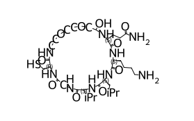 CC(C)C[C@@H]1NC(=O)[C@H](CCCCN)NC(=O)[C@H](CCC(N)=O)NC(O)COCCOCCNC(=O)[C@H](CS)NC(=O)CNC(=O)[C@H](C(C)C)NC1=O